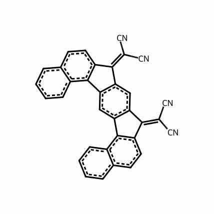 N#CC(C#N)=C1c2cc3c(cc2-c2c1ccc1ccccc21)-c1c(ccc2ccccc12)C3=C(C#N)C#N